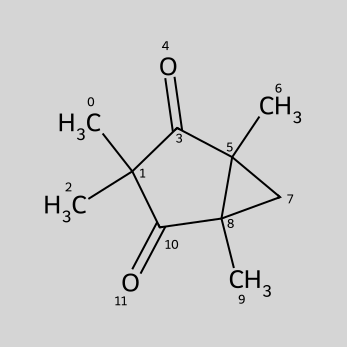 CC1(C)C(=O)C2(C)CC2(C)C1=O